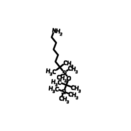 CC(C)(O[Si](C)(C)C(C)(C)CCCCCN)[Si](C)(C)C